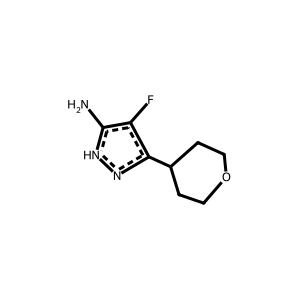 Nc1[nH]nc(C2CCOCC2)c1F